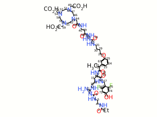 CCC(=O)NCCNC(=O)/N=C(/N)NCCC[C@@H](NC(=O)C(C)c1cccc(OCCCCNC(=O)NNC(=O)CCNC(=O)CN2CCN(CC(=O)O)CCN(CC(=O)O)CCN(CC(=O)O)CC2)c1)C(=O)NCc1c(F)cc(O)cc1F